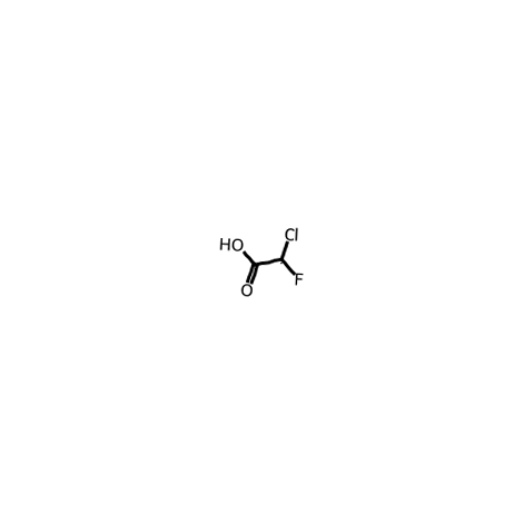 O=C(O)[C](F)Cl